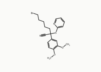 COc1ccc(C(C#N)(CCCCCBr)Sc2ccccn2)cc1OC